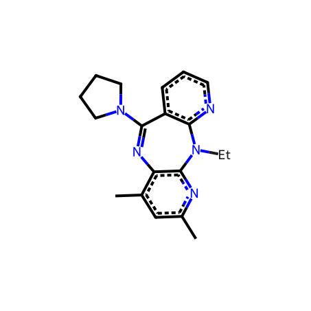 CCN1c2ncccc2C(N2CCCC2)=Nc2c(C)cc(C)nc21